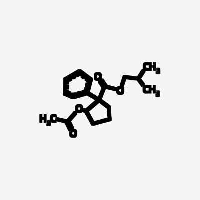 CC(=O)OC1CCCC1(C(=O)OCC(C)C)c1ccccc1